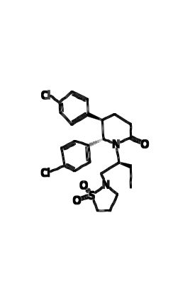 CC[C@@H](CN1CCCS1(=O)=O)N1C(=O)CC[C@H](c2ccc(Cl)cc2)[C@H]1c1ccc(Cl)cc1